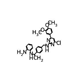 C=C(Nc1ccccc1N)c1ccc(CNc2nc(Cl)cc(-c3ccc(OC)c(OC)c3)n2)cc1